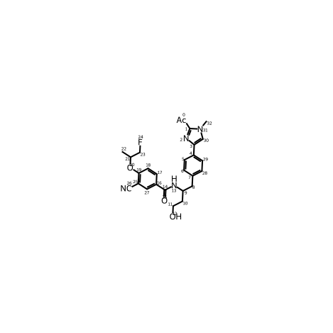 CC(=O)c1nc(-c2ccc(CC(CCO)NC(=O)c3ccc(OC(C)CF)c(C#N)c3)cc2)cn1C